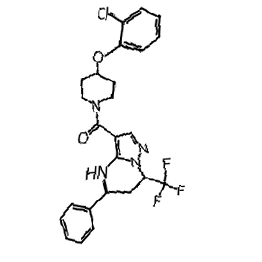 O=C(c1cnn2c1NC(c1ccccc1)CC2C(F)(F)F)N1CCC(Oc2ccccc2Cl)CC1